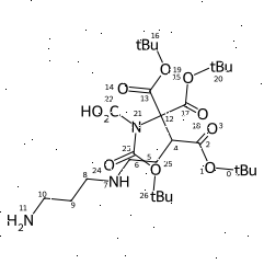 CC(C)(C)OC(=O)C(CCNCCCN)C(C(=O)OC(C)(C)C)(C(=O)OC(C)(C)C)N(C(=O)O)C(=O)OC(C)(C)C